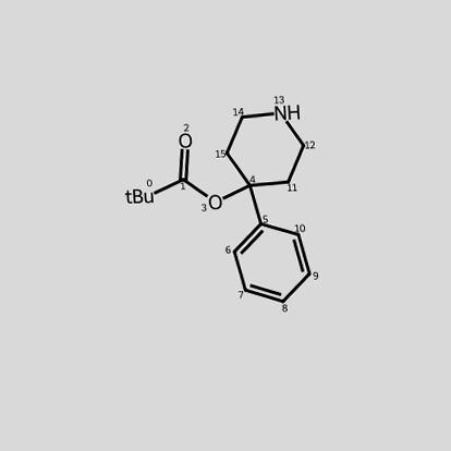 CC(C)(C)C(=O)OC1(c2ccccc2)CCNCC1